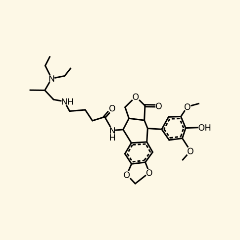 CCN(CC)C(C)CNCCCC(=O)NC1c2cc3c(cc2C(c2cc(OC)c(O)c(OC)c2)C2C(=O)OCC12)OCO3